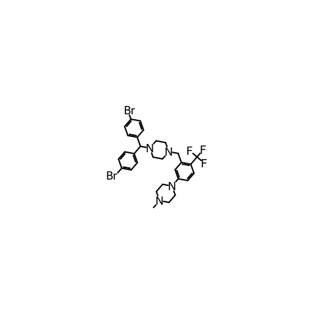 CN1CCN(c2ccc(C(F)(F)F)c(CN3CCN(C(c4ccc(Br)cc4)c4ccc(Br)cc4)CC3)c2)CC1